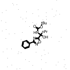 CCCC(O)(NC(=O)OC(C)(C)C)c1nc(-c2ccccc2)no1